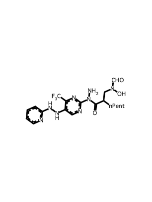 CCCCCC(CN(O)C=O)C(=O)N(N)c1ncc(NNc2ccccn2)c(C(F)(F)F)n1